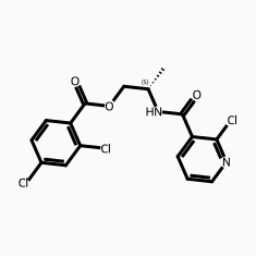 C[C@@H](COC(=O)c1ccc(Cl)cc1Cl)NC(=O)c1cccnc1Cl